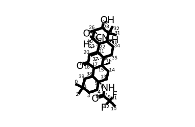 CC1(C)CC[C@]2(NC(=O)C(C)(F)F)CC[C@]3(C)C(C(=O)C=C4[C@@]5(C)[C@H]6O[C@@]6(C#N)C(O)C(C)(C)[C@@H]5CC[C@]43C)C2C1